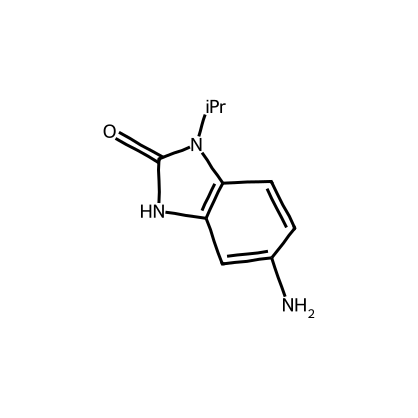 CC(C)n1c(=O)[nH]c2cc(N)ccc21